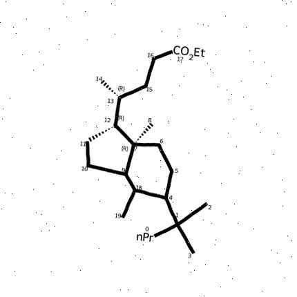 CCCC(C)(C)C1CC[C@@]2(C)C(CC[C@@H]2[C@H](C)CCC(=O)OCC)C1C